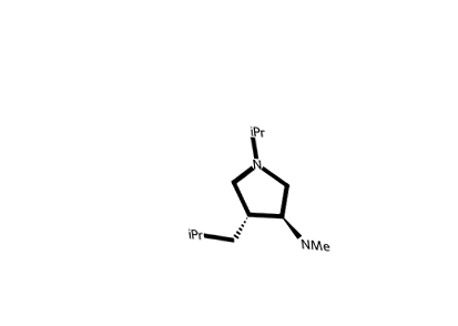 CN[C@@H]1CN(C(C)C)C[C@H]1CC(C)C